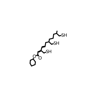 CC(CS)CCCC(CS)CC=CC(=CC(=O)OC1CCCCC1)CS